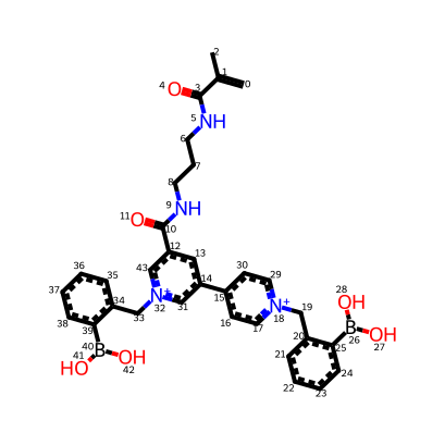 C=C(C)C(=O)NCCCNC(=O)c1cc(-c2cc[n+](Cc3ccccc3B(O)O)cc2)c[n+](Cc2ccccc2B(O)O)c1